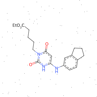 CCOC(=O)CCCCn1c(=O)cc(Nc2ccc3c(c2)CCC3)[nH]c1=O